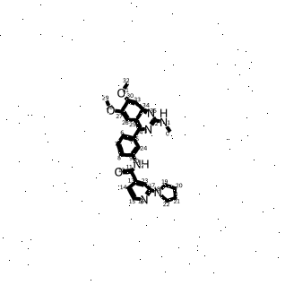 CNc1nc(-c2cccc(NC(=O)c3ccnc(N4CCCC4)c3)c2)c2cc(OC)c(OC)cc2n1